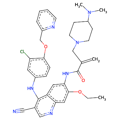 C=C(CN1CCC(N(C)C)CC1)C(=O)Nc1cc2c(Nc3ccc(OCc4ccccn4)c(Cl)c3)c(C#N)cnc2cc1OCC